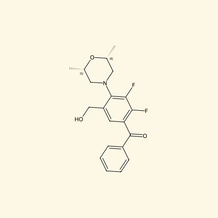 C[C@@H]1CN(c2c(CO)cc(C(=O)c3ccccc3)c(F)c2F)C[C@H](C)O1